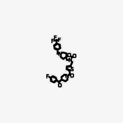 O=C(c1ccc(F)cc1)C1CCN(C(=O)c2ccc(CN3CC4(CCN(Cc5ccc(C(F)(F)F)cc5)CC4)OC3=O)s2)CC1